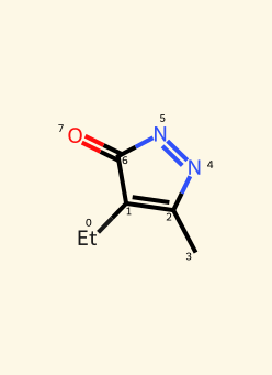 CCC1=C(C)N=NC1=O